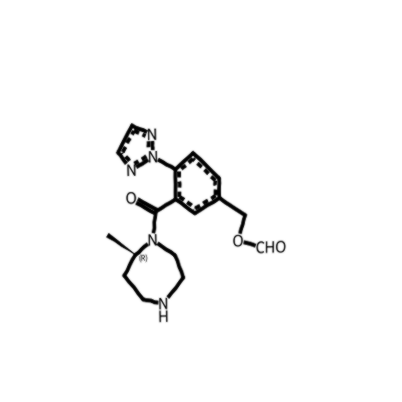 C[C@@H]1CCNCCN1C(=O)c1cc(COC=O)ccc1-n1nccn1